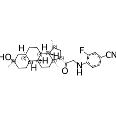 C[C@@H]1C[C@H](C(=O)CNc2ccc(C#N)cc2F)[C@@]2(C)CC[C@H]3[C@@H](CC[C@@H]4C[C@](C)(O)CC[C@@H]43)[C@H]12